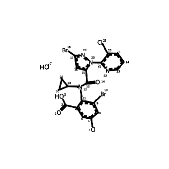 Cl.O=C(O)c1cc(Cl)cc(Br)c1N(C(=O)c1cc(Br)nn1-c1ncccc1Cl)C1CC1